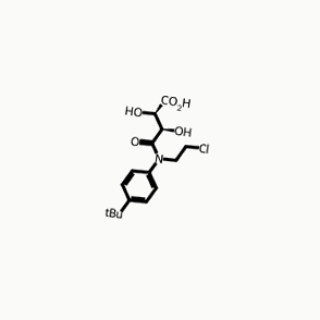 CC(C)(C)c1ccc(N(CCCl)C(=O)[C@H](O)[C@@H](O)C(=O)O)cc1